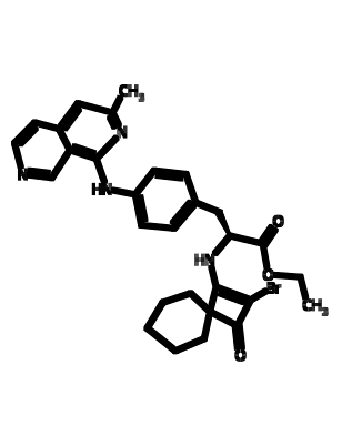 CCOC(=O)[C@H](Cc1ccc(Nc2nc(C)cc3ccncc23)cc1)NC1=C(Br)C(=O)C12CCCCC2